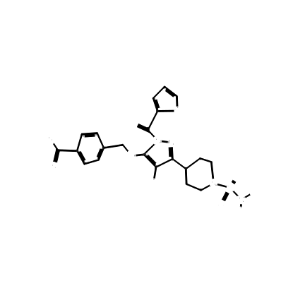 Cc1c(C2CCN(S(=O)(=O)N(C)C)CC2)nn(C(=O)c2cccs2)c1OCc1ccc(C(=N)N)cc1